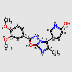 COc1ccc(-c2nn3c(-c4ccc(O)nc4)c(C)nc3o2)cc1OC